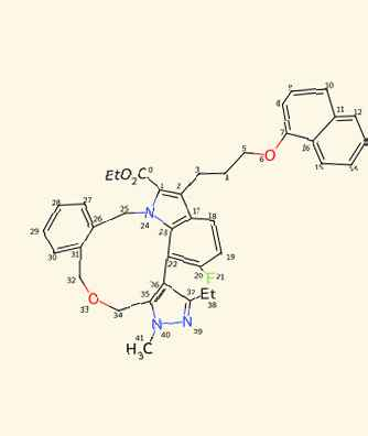 CCOC(=O)c1c(CCCOc2cccc3ccccc23)c2ccc(F)c3c2n1Cc1ccccc1COCc1c-3c(CC)nn1C